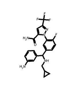 NC(=O)c1cc(C(F)(F)F)nn1-c1cc(C(NCC2CC2)c2cccc(N)c2)ccc1F